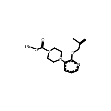 C=C(C)COc1ncccc1N1CCN(C(=O)OC(C)(C)C)CC1